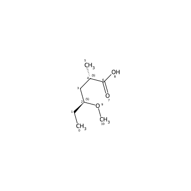 CC[C@@H](C[C@H](C)C(=O)O)OC